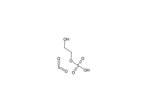 O=S(=O)(O)OCCO.O=S=O